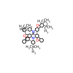 CC(C)(C)c1ccc(N2B3c4cc5c(-c6ccccc6)oc(-c6ccccc6)c5cc4N(c4ccc(C(C)(C)C)cc4-c4ccccc4)c4c3c(cc3c4oc4ccccc43)-c3cc4c(cc32)oc2cc3c(cc24)C(C)(C)CCC3(C)C)cc1